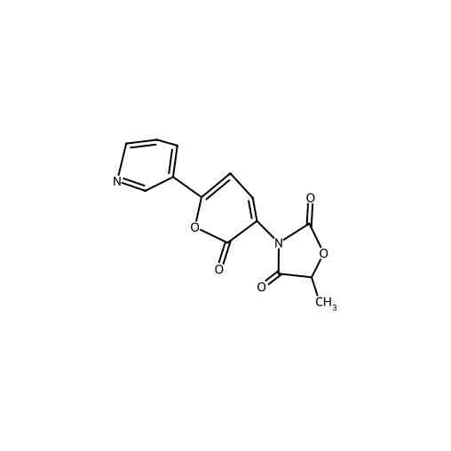 CC1OC(=O)N(c2ccc(-c3cccnc3)oc2=O)C1=O